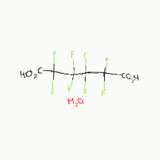 O.O=C(O)C(F)(F)C(F)(F)C(F)(F)C(F)(F)C(=O)O